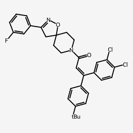 CC(C)(C)c1ccc(C(=CC(=O)N2CCC3(CC2)CC(c2cccc(F)c2)=NO3)c2ccc(Cl)c(Cl)c2)cc1